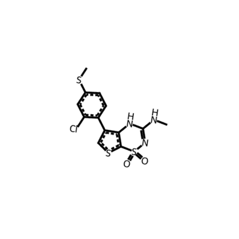 CNC1=NS(=O)(=O)c2scc(-c3ccc(SC)cc3Cl)c2N1